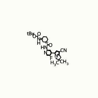 CC1(C)Cc2c(C#N)cc(-c3cc(NC(=O)[C@H]4CCC[C@@H](NC(=O)OC(C)(C)C)C4)ncc3F)n2C1